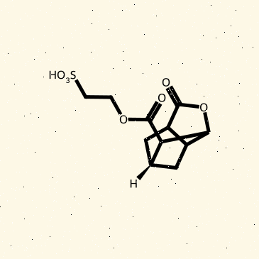 O=C1OC2C3C[C@H](CC13)C2C(=O)OCCS(=O)(=O)O